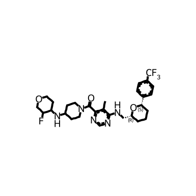 Cc1c(NC[C@H]2CCC[C@@H](c3ccc(C(F)(F)F)cc3)O2)ncnc1C(=O)N1CCC(NC2CCOCC2F)CC1